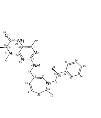 Cc1nc(NCC2=CN(C[C@@H](C)c3ccccc3)C(C)CC=C2)nc2c1NC(=O)[C@H](C)N2C